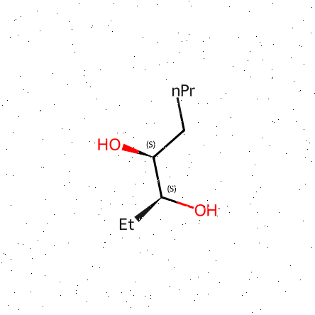 CCCC[C@H](O)[C@@H](O)CC